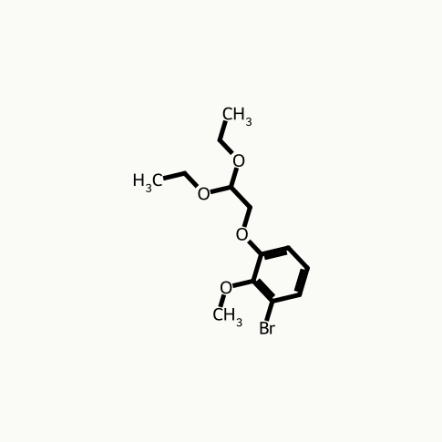 CCOC(COc1cccc(Br)c1OC)OCC